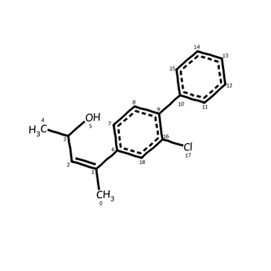 C/C(=C/C(C)O)c1ccc(-c2ccccc2)c(Cl)c1